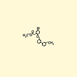 CCOC(=O)Cc1cc(Br)ccc1OCc1cccc(-c2cccc(CC)c2)c1